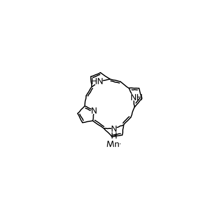 C1=Cc2nc1cc1ccc(cc3ccc(cc4ccc2[nH]4)[nH]3)[nH]1.[Mn]